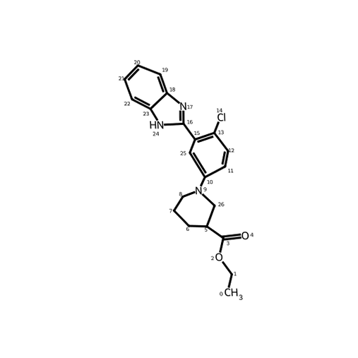 CCOC(=O)C1CCCN(c2ccc(Cl)c(-c3nc4ccccc4[nH]3)c2)C1